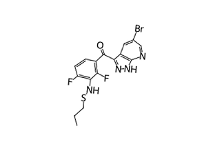 CCCSNc1c(F)ccc(C(=O)c2n[nH]c3ncc(Br)cc23)c1F